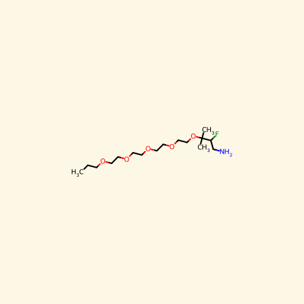 CCCOCCOCCOCCOCCOC(C)(C)C(F)CN